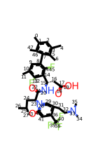 Cc1cc(C)c(C)c(-c2cc(C)c(F)c([C@H](CC(=O)O)NC(=O)C(CC(C)C)n3cc(CCN(C)C)c(C(F)(F)F)cc3=O)c2F)c1C